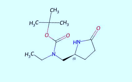 CCN(C[C@@H]1CCC(=O)N1)C(=O)OC(C)(C)C